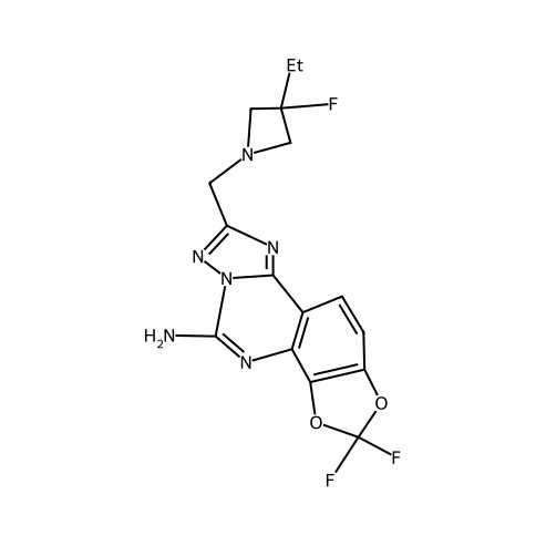 CCC1(F)CN(Cc2nc3c4ccc5c(c4nc(N)n3n2)OC(F)(F)O5)C1